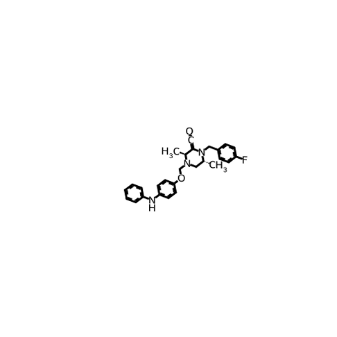 C[C@@H]1CN(COc2ccc(Nc3ccccc3)cc2)[C@@H](C)C(=C=O)N1Cc1ccc(F)cc1